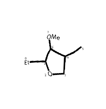 CCC1OCC(C)C1OC